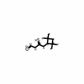 CC1(C)CC(C)(C)C1CC(=S)CC=O